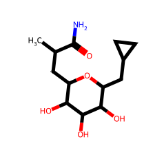 CC([CH]C1OC(CC2CC2)C(O)C(O)C1O)C(N)=O